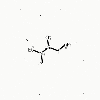 [CH2]CCC[S+]([O-])N(C)CC